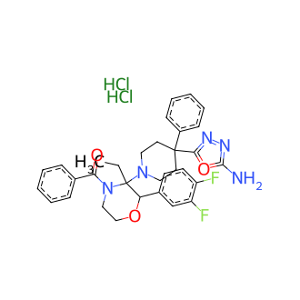 CCC1(N2CCC(c3ccccc3)(c3nnc(N)o3)CC2)C(c2ccc(F)c(F)c2)OCCN1C(=O)c1ccccc1.Cl.Cl